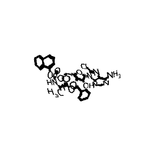 CC(NP(=O)(OC[C@H]1O[C@@H](n2c(Cl)nc3c(N)ncnc32)C(O)C1O)Oc1cccc2ccccc12)C(=O)OCc1ccccc1